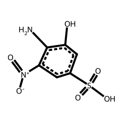 Nc1c(O)cc(S(=O)(=O)O)cc1[N+](=O)[O-]